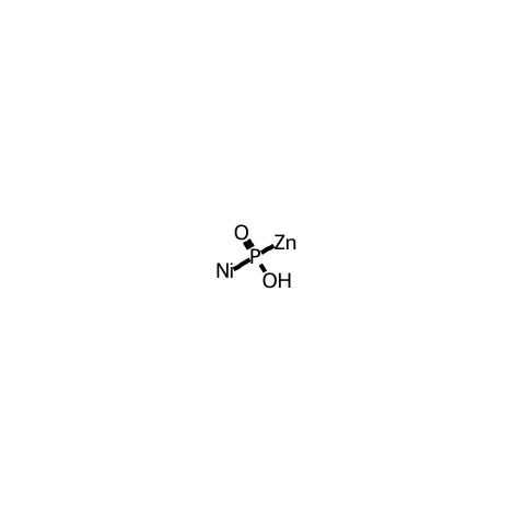 O=[P](O)([Ni])[Zn]